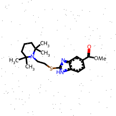 COC(=O)c1ccc2[nH]c(SCCN3C(C)(C)CCCC3(C)C)nc2c1